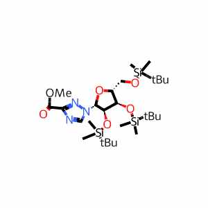 COC(=O)c1ncn([C@@H]2O[C@H](CO[Si](C)(C)C(C)(C)C)[C@@H](O[Si](C)(C)C(C)(C)C)[C@H]2O[Si](C)(C)C(C)(C)C)n1